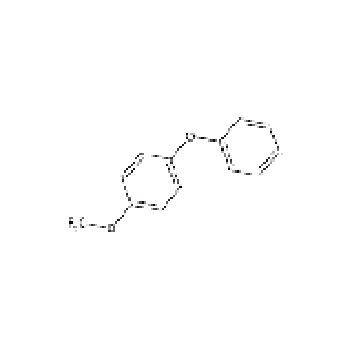 FC(F)(F)Oc1ccc(Oc2cc[c]cc2)cc1